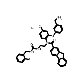 Cl.NCc1cccc(Oc2cc(Cl)ccc2N(CCNC(=O)NCc2ccccc2F)C(=O)c2ccc3c(c2)Cc2ccccc2-3)c1